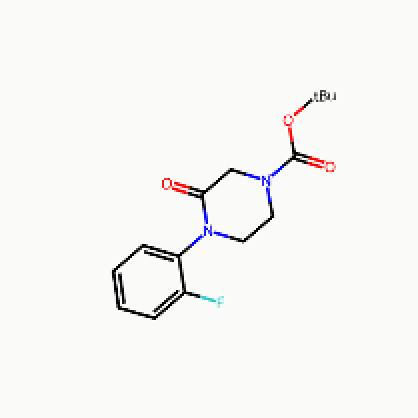 CC(C)(C)OC(=O)N1CCN(c2ccccc2F)C(=O)C1